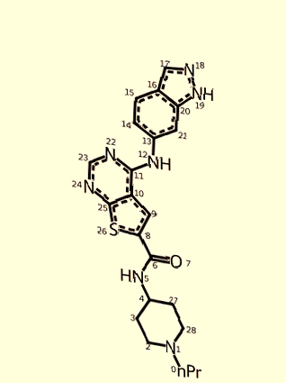 CCCN1CCC(NC(=O)c2cc3c(Nc4ccc5cn[nH]c5c4)ncnc3s2)CC1